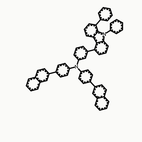 c1ccc(-c2cccc3c4c(-c5cccc(N(c6ccc(-c7ccc8ccccc8c7)cc6)c6ccc(-c7ccc8ccccc8c7)cc6)c5)cccc4n(-c4ccccc4)c23)cc1